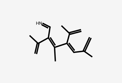 C=C(C)/C=C(C(=C)C)/C(C)=C(\C=N)C(=C)C